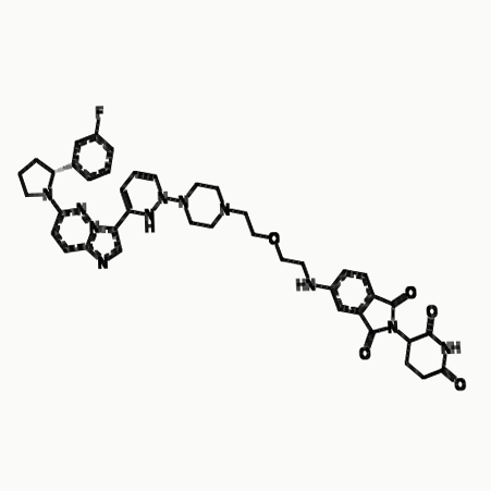 O=C1CCC(N2C(=O)c3ccc(NCCOCCN4CCN(N5C=CC=C(c6cnc7ccc(N8CCC[C@@H]8c8cccc(F)c8)nn67)N5)CC4)cc3C2=O)C(=O)N1